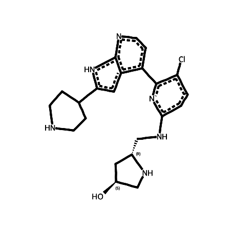 O[C@@H]1CN[C@@H](CNc2ccc(Cl)c(-c3ccnc4[nH]c(C5CCNCC5)cc34)n2)C1